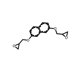 c1cc2ccc(OCC3CO3)cc2cc1OCC1CO1